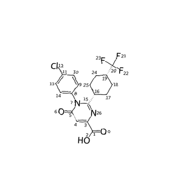 O=C(O)c1cc(=O)n(-c2ccc(Cl)cc2)c([C@H]2CC[C@@H](C(F)(F)F)CC2)n1